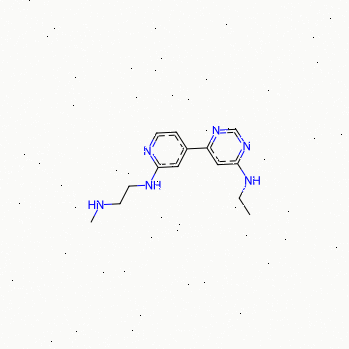 CCNc1cc(-c2ccnc(NCCNC)c2)ncn1